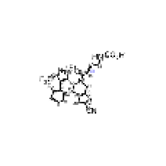 CCn1cc(-c2c(F)cccc2[C@@H]2CN(C(=O)/C=C/CNC(=O)O)Cc3sc(C#N)cc32)c(C(F)(F)F)n1